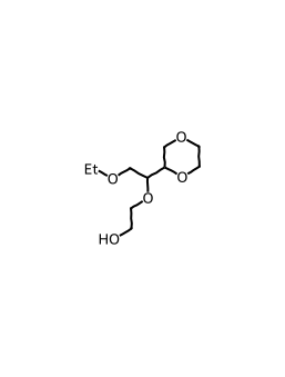 CCOCC(OCCO)C1COCCO1